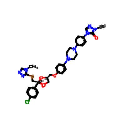 CCC(C)n1ncn(-c2ccc(N3CCN(c4ccc(OC[C@H]5CO[C@](CSc6nncn6C)(c6ccc(Cl)cc6)O5)cc4)CC3)cc2)c1=O